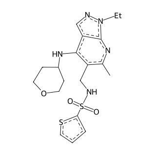 CCn1ncc2c(NC3CCOCC3)c(CNS(=O)(=O)c3cccs3)c(C)nc21